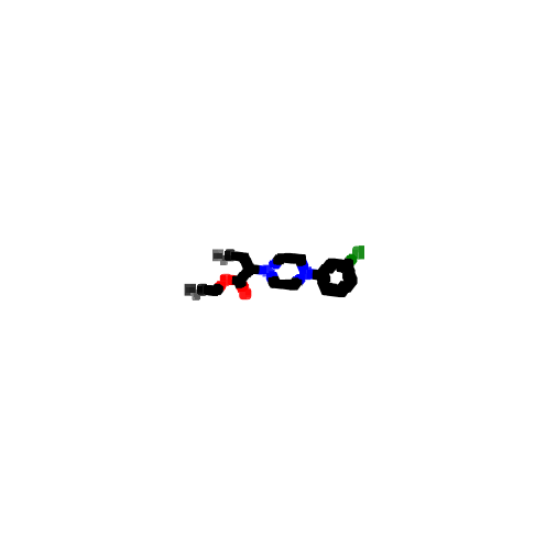 CCOC(=O)C(CC)N1CCN(c2cccc(Cl)c2)CC1